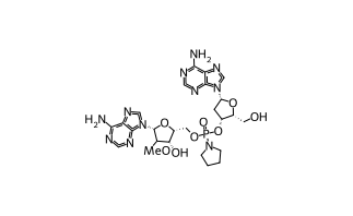 COC1[C@@H](O)[C@@H](COP(=O)(O[C@@H]2C[C@H](n3cnc4c(N)ncnc43)O[C@@H]2CO)N2CCCC2)O[C@H]1n1cnc2c(N)ncnc21